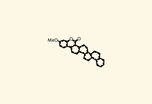 COc1ccc2c(c1)oc(=O)c1c2ccc2c3ccc4c5ccccc5ccc4c3ccc21